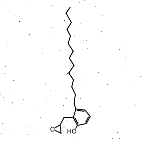 CCCCCCCCCCCCCCc1cccc(O)c1CC1CO1